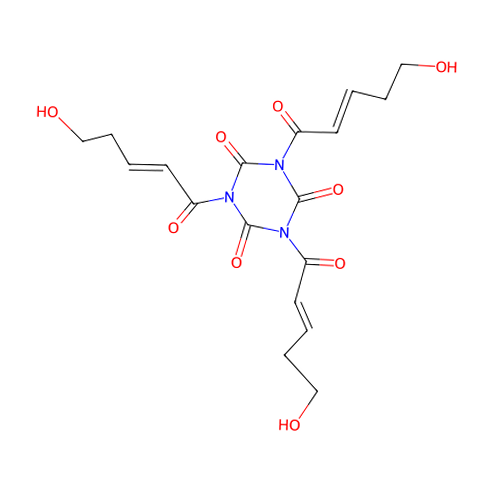 O=C(C=CCCO)n1c(=O)n(C(=O)C=CCCO)c(=O)n(C(=O)C=CCCO)c1=O